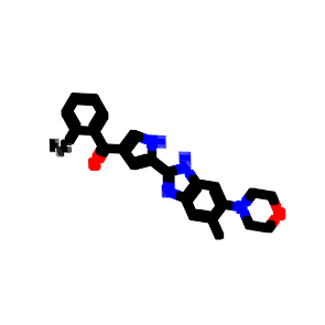 Cc1cc2nc(-c3cc(C(=O)c4ccccc4C(F)(F)F)c[nH]3)[nH]c2cc1N1CCOCC1